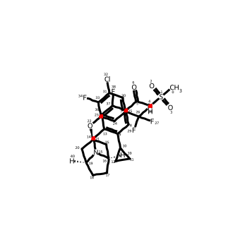 CS(=O)(=O)NC(=O)c1cc(C2CC2)c(CN2[C@@H]3CC[C@H]2C[C@@H](Oc2cc(C(F)(F)F)cc(Cl)c2F)C3)cc1F